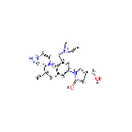 C=CN(C)Cc1cc(N2C[C@H](CO)CC2=O)ccc1N(/C=C\N)[C@@H](C)C(C)C#N